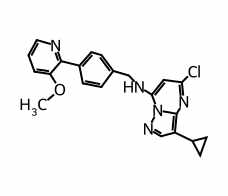 COc1cccnc1-c1ccc(CNc2cc(Cl)nc3c(C4CC4)cnn23)cc1